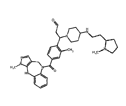 Cc1cc(C(=O)N2Cc3cnn(C)c3Nc3ccccc32)ccc1C(CC=O)N1CCC(NCCC2CCCN2C)CC1